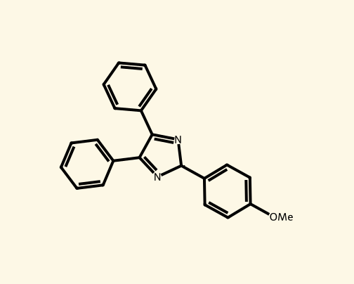 COc1ccc([C]2N=C(c3ccccc3)C(c3ccccc3)=N2)cc1